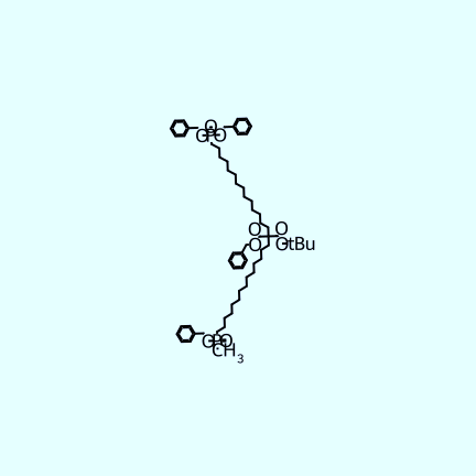 CC(C)(C)OC(=O)C(CCCCCCCCCCCCCCP(C)(=O)OCc1ccccc1)(CCCCCCCCCCCCCCP(=O)(OCc1ccccc1)OCc1ccccc1)C(=O)OCc1ccccc1